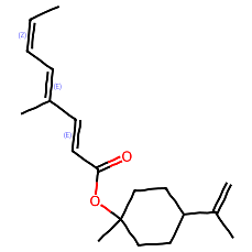 C=C(C)C1CCC(C)(OC(=O)/C=C/C(C)=C/C=C\C)CC1